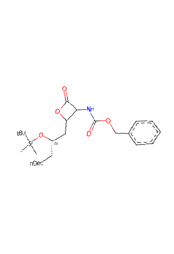 CCCCCCCCCCC[C@@H](CC1OC(=O)C1NC(=O)OCc1ccccc1)O[Si](C)(C)C(C)(C)C